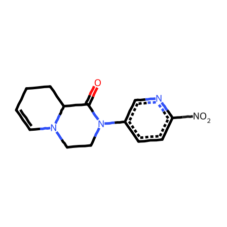 O=C1C2CCC=CN2CCN1c1ccc([N+](=O)[O-])nc1